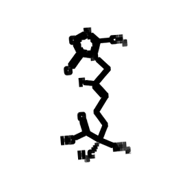 Cc1noc(=O)n1C/C(F)=C/CC[C@@](C)(N)C(=O)O